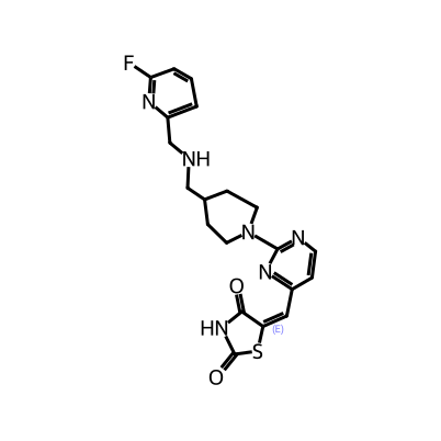 O=C1NC(=O)/C(=C\c2ccnc(N3CCC(CNCc4cccc(F)n4)CC3)n2)S1